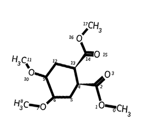 COC(=O)[C@H]1CC(OC)C(OC)C[C@H]1C(=O)OC